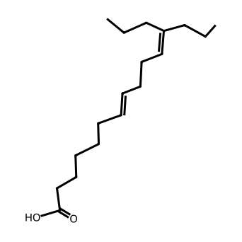 CCCC(=CCCC=CCCCCCC(=O)O)CCC